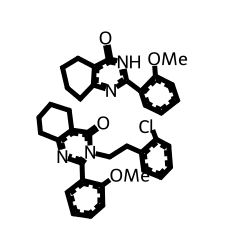 COc1ccccc1-c1nc2c(c(=O)[nH]1)CCCC2.COc1ccccc1-c1nc2c(c(=O)n1CCc1ccccc1Cl)CCCC2